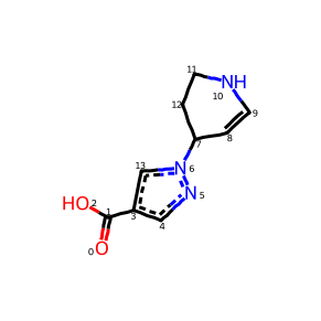 O=C(O)c1cnn(C2C=CNCC2)c1